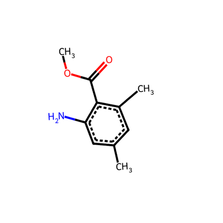 COC(=O)c1c(C)cc(C)cc1N